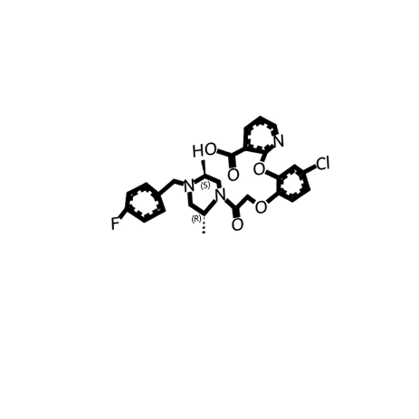 C[C@@H]1CN(Cc2ccc(F)cc2)[C@@H](C)CN1C(=O)COc1ccc(Cl)cc1Oc1ncccc1C(=O)O